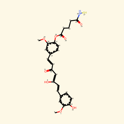 COc1cc(/C=C/C(O)=C/C(=O)/C=C/c2ccc(OC(=O)CCCC(=O)NS)c(OC)c2)ccc1O